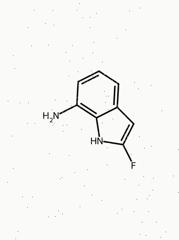 Nc1cccc2cc(F)[nH]c12